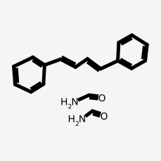 C(C=Cc1ccccc1)=Cc1ccccc1.NC=O.NC=O